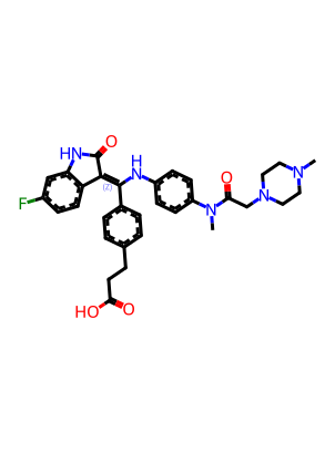 CN1CCN(CC(=O)N(C)c2ccc(N/C(=C3\C(=O)Nc4cc(F)ccc43)c3ccc(CCC(=O)O)cc3)cc2)CC1